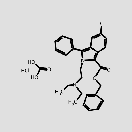 CCN(CC)CCn1c(C(=O)OCc2ccccc2)c2ccc(Cl)cc2c1-c1ccccc1.Cl.O=C(O)O